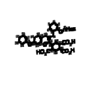 CCCCCCOc1ccccc1CN(Cc1ccc(Oc2ccccc2)cc1)C(=O)c1cc(C(=O)O)c(C(=O)O)cc1C(=O)O